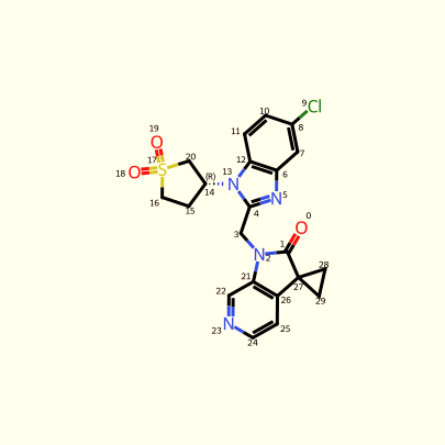 O=C1N(Cc2nc3cc(Cl)ccc3n2[C@@H]2CCS(=O)(=O)C2)c2cnccc2C12CC2